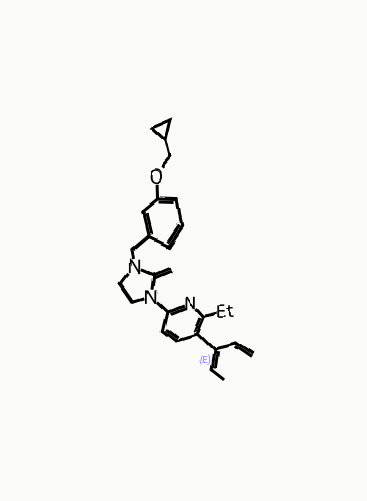 C=C/C(=C\C)c1ccc(N2CCN(Cc3cccc(OCC4CC4)c3)C2=C)nc1CC